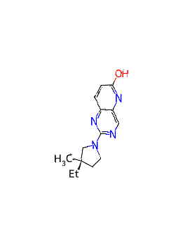 CC[C@]1(C)CCN(c2ncc3nc(O)ccc3n2)C1